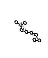 c1ccc(-c2nc(-c3ccccc3)nc(-c3cccc4c3oc3cc(-c5ccc6c(c5)sc5c(-n7c8ccccc8c8ccccc87)cccc56)ccc34)n2)cc1